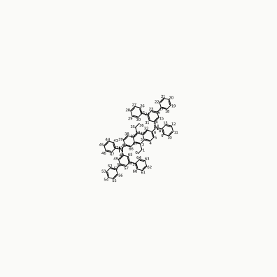 CCc1c2ccc(N(c3ccccc3)c3cc(-c4ccccc4)cc(-c4ccccc4)c3)cc2c(CC)c2ccc(N(c3ccccc3)c3cc(-c4ccccc4)cc(-c4ccccc4)c3)cc12